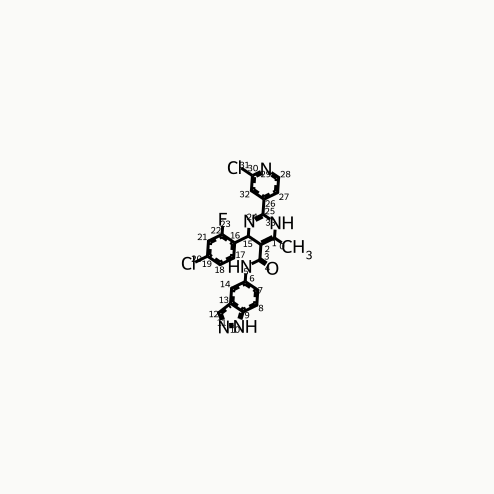 CC1=C(C(=O)Nc2ccc3[nH]ncc3c2)C(c2ccc(Cl)cc2F)N=C(c2ccnc(Cl)c2)N1